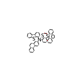 c1ccc2c(c1)Oc1ccccc1[Si]21c2ccccc2Sc2c(N(c3ccc4c(ccc5ccccc54)c3)c3cccc4c3sc3ccccc34)cccc21